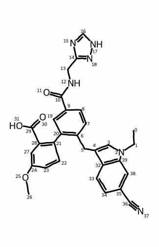 CCn1cc(Cc2ccc(C(=O)NCc3nc[nH]n3)cc2-c2ccc(OC)cc2C(=O)O)c2ccc(C#N)cc21